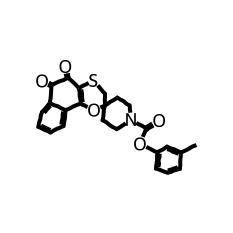 Cc1cccc(OC(=O)N2CCC3(CC2)CSC2=C(O3)c3ccccc3C(=O)C2=O)c1